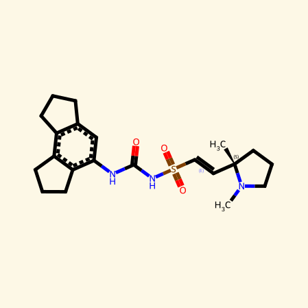 CN1CCC[C@@]1(C)/C=C/S(=O)(=O)NC(=O)Nc1cc2c(c3c1CCC3)CCC2